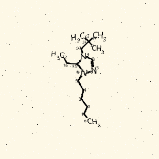 CCCCCCN1N=CN(CC(C)(C)C)C1CC